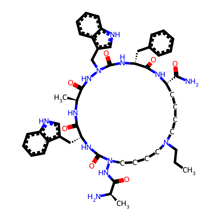 CCCN1CCCC[C@@H](C(N)=O)NC(=O)[C@@H](Cc2ccccc2)NC(=O)N(Cc2c[nH]c3ccccc23)NC(=O)[C@H](C)NC(=O)[C@@H](Cc2c[nH]c3ccccc23)NC(=O)N(NC(=O)[C@@H](C)N)CCCC1